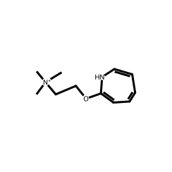 C[N+](C)(C)CCOC1=CC=CC=CN1